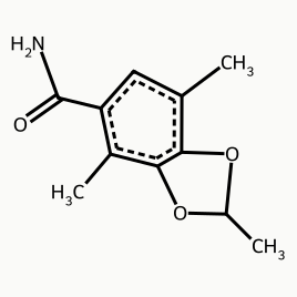 Cc1cc(C(N)=O)c(C)c2c1OC(C)O2